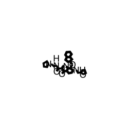 O=C(NCCN1CCCC1)c1cn2c3c(c(NCC4CCCO4)ccc3c1=O)Oc1cc3ccccc3cc1-2